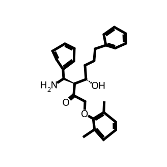 Cc1cccc(C)c1OCC(=O)[C@@H](C(N)c1ccccc1)[C@@H](O)CCCc1ccccc1